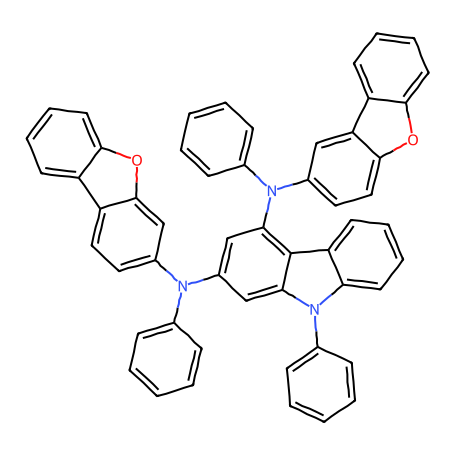 c1ccc(N(c2ccc3c(c2)oc2ccccc23)c2cc(N(c3ccccc3)c3ccc4oc5ccccc5c4c3)c3c4ccccc4n(-c4ccccc4)c3c2)cc1